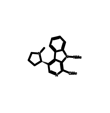 CNn1c2ccccc2c2c([C@@H]3CCCN3C)cnc(OC)c21